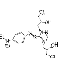 CCN(CC)c1ccc(N=Nc2n(CC(O)CCl)nc[n+]2CC(O)CCl)cc1